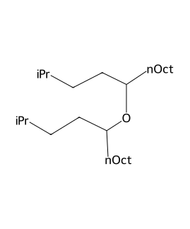 CCCCCCCCC(CCC(C)C)OC(CCCCCCCC)CCC(C)C